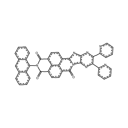 O=C1c2ccc3c(=O)n4c5nc(-c6ccccn6)c(-c6ccccn6)nc5nc4c4ccc(c2c34)C(=O)N1c1c2ccccc2cc2ccccc12